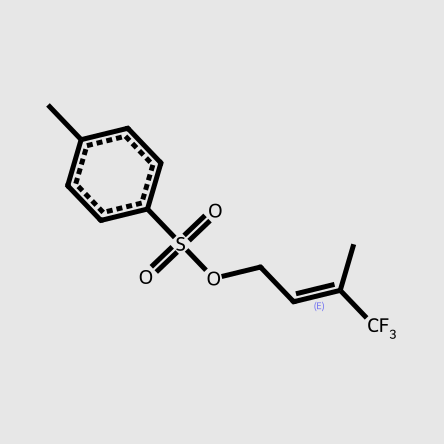 C/C(=C\COS(=O)(=O)c1ccc(C)cc1)C(F)(F)F